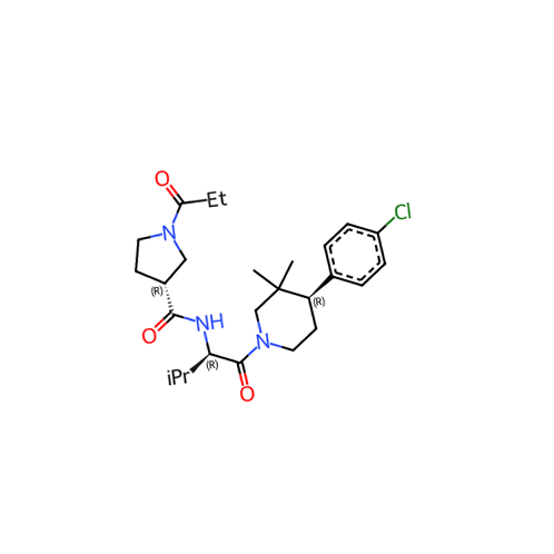 CCC(=O)N1CC[C@@H](C(=O)N[C@@H](C(=O)N2CC[C@H](c3ccc(Cl)cc3)C(C)(C)C2)C(C)C)C1